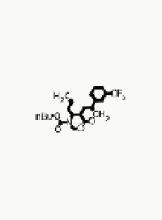 C=CCC1C(CC(=C)c2cccc(C(F)(F)F)c2)C(=O)OCN1C(=O)OCCCC